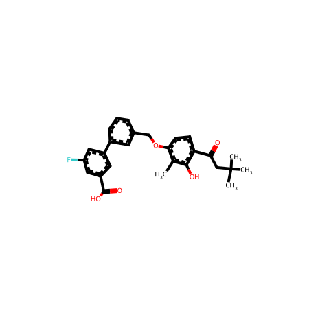 Cc1c(OCc2cccc(-c3cc(F)cc(C(=O)O)c3)c2)ccc(C(=O)CC(C)(C)C)c1O